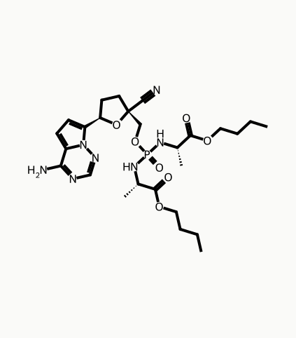 CCCCOC(=O)[C@H](C)NP(=O)(N[C@@H](C)C(=O)OCCCC)OC[C@]1(C#N)CC[C@H](c2ccc3c(N)ncnn23)O1